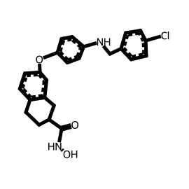 O=C(NO)C1CCc2ccc(Oc3ccc(NCc4ccc(Cl)cc4)cc3)cc2C1